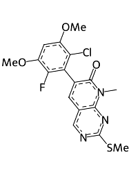 COc1cc(OC)c(Cl)c(-c2cc3cnc(SC)nc3n(C)c2=O)c1F